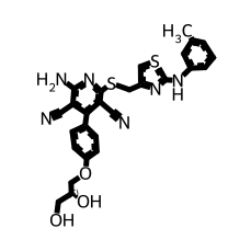 Cc1cccc(Nc2nc(CSc3nc(N)c(C#N)c(-c4ccc(OC[C@@H](O)CO)cc4)c3C#N)cs2)c1